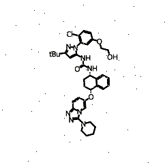 CC(C)(C)c1cc(NC(=O)N[C@H]2CC[C@@H](Oc3ccc4nnc(N5CCCCC5)n4c3)c3ccccc32)n(-c2cc(OCCO)ccc2Cl)n1